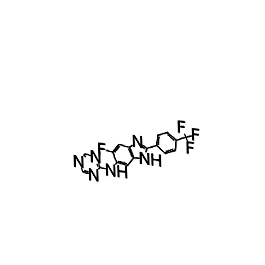 Fc1cc2nc(-c3ccc(C(F)(F)F)cc3)[nH]c2cc1Nc1ncncn1